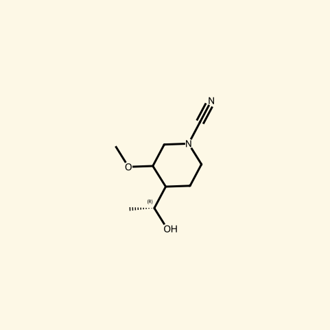 COC1CN(C#N)CCC1[C@@H](C)O